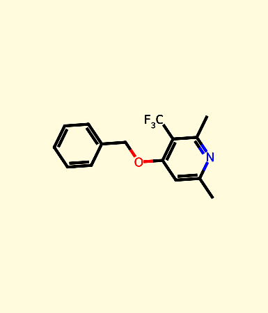 Cc1cc(OCc2ccccc2)c(C(F)(F)F)c(C)n1